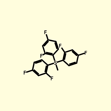 CS(c1ccc(F)cc1F)(c1ccc(F)cc1F)c1ccc(F)cc1F